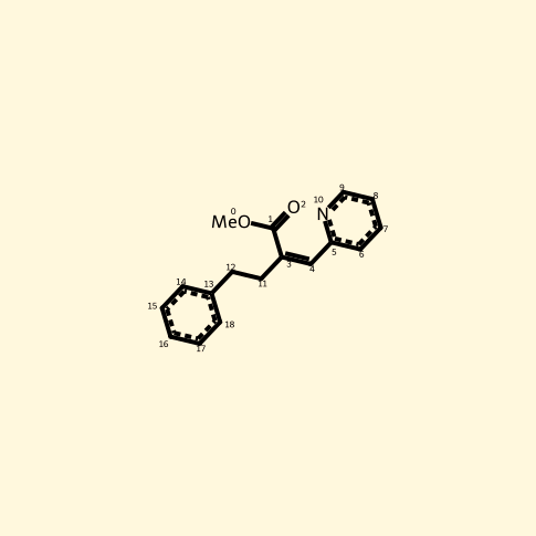 COC(=O)C(=Cc1ccccn1)CCc1ccccc1